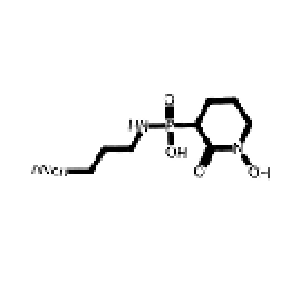 CCCCCCCCCCCCNP(=O)(O)C1CCCN(O)C1=O